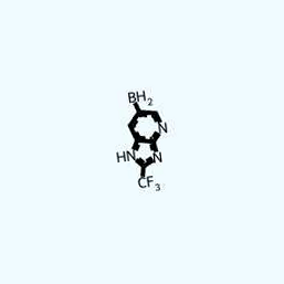 Bc1cnc2nc(C(F)(F)F)[nH]c2c1